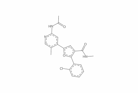 CNC(=O)c1cc(-c2cc(NC(C)=O)ncc2C)oc1-c1ccccc1Cl